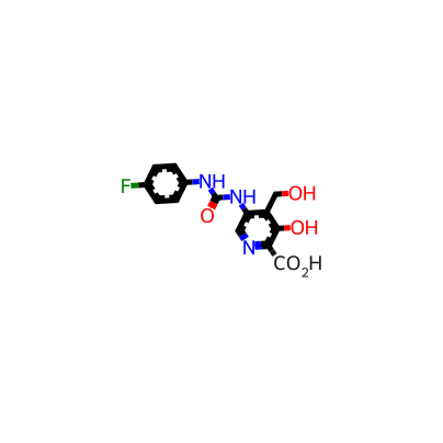 O=C(Nc1ccc(F)cc1)Nc1cnc(C(=O)O)c(O)c1CO